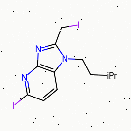 CC(C)CCn1c(CI)nc2nc(I)ccc21